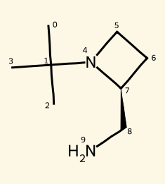 CC(C)(C)N1CC[C@H]1CN